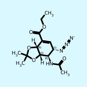 CCOC(=O)C1=C[C@H](N=[N+]=[N-])[C@@H](NC(C)=O)[C@@H]2OC(C)(C)O[C@H]12